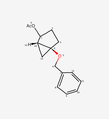 CC(=O)OC1CC[C@]2(OCc3ccccc3)C[C@H]12